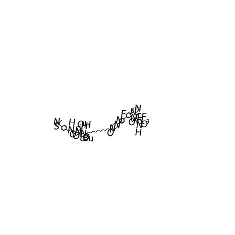 Cc1ncsc1-c1ccc([C@H](C)NC(=O)[C@@H]2C[C@@H](O)CN2C(=O)C(NC(=O)CCCCCCCCCC(=O)N2CCN(c3ccc(-c4cc(NC(=O)c5c[nH]c(=O)cc5C(F)(F)F)c(N5C[C@@H](C)N(C)[C@@H](C)C5)cc4F)cn3)CC2)C(C)(C)C)cc1